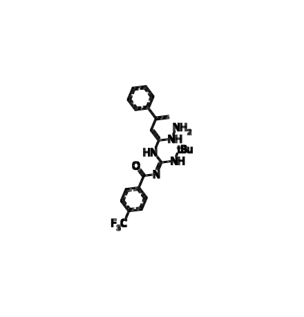 C=C(/C=C(\NN)N/C(=N\C(=O)c1ccc(C(F)(F)F)cc1)NC(C)(C)C)c1ccccc1